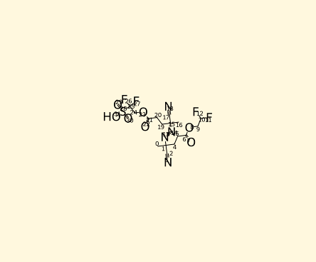 CC(C#N)(CCC(=O)OCC(F)F)N=NC(C)(C#N)CCC(=O)OCC(F)(F)S(=O)(=O)O